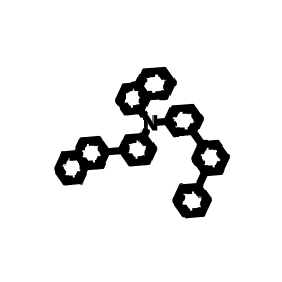 c1ccc(-c2cccc(-c3cccc(N(c4cccc(-c5ccc6ccccc6c5)c4)c4cccc5ccccc45)c3)c2)cc1